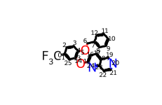 FC(F)(F)c1ccc(OCc2ccccc2)c(Oc2ccc3cnccc3n2)c1